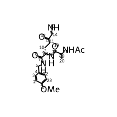 COc1ccc(CNC(=O)[C@H](CCC(=O)C=N)NC(=O)[C@H](C)NC(C)=O)cc1